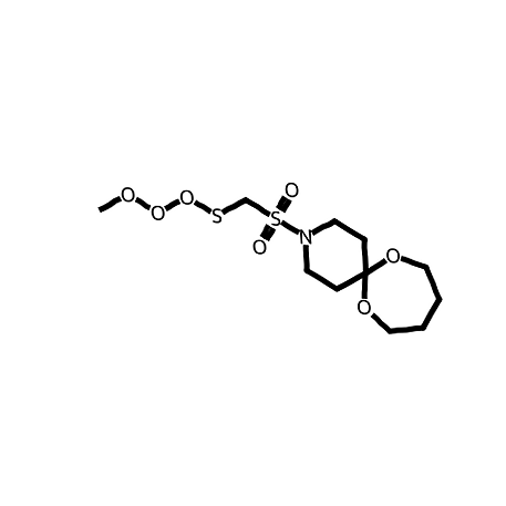 COOOSCS(=O)(=O)N1CCC2(CC1)OCCCCO2